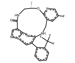 C[C@H]1CNC(=O)c2cnn3cc(-c4ccccc4C(F)(F)F)c(nc23)NCc2cc(F)cnc2O1